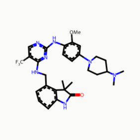 COc1cc(N2CCC(N(C)C)CC2)ccc1Nc1ncc(C(F)(F)F)c(NCc2cccc3c2C(C)(C)C(=O)N3)n1